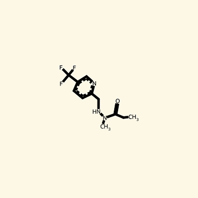 CCC(=O)N(C)NCc1ccc(C(F)(F)F)cn1